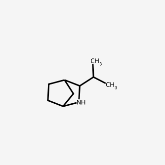 CC(C)C1NC2CCC1C2